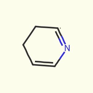 [C]1=NC=CCC1